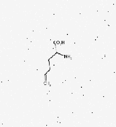 C=CCC[C@@H](N)C(=O)O